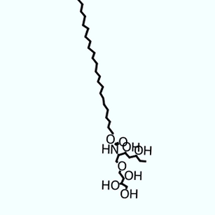 CCCCCCCCCCCCCCCCCCCCCCCCOC(=O)NC(COCC(O)C(O)CO)C(O)CC(O)CC